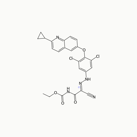 CCOC(=O)NC(=O)/C(C#N)=N/Nc1cc(Cl)c(Oc2ccc3nc(C4CC4)ccc3c2)c(Cl)c1